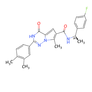 Cc1ccc(-c2nn3c(C)c(C(=O)N[C@H](C)c4ccc(F)cc4)cc3c(=O)[nH]2)cc1C